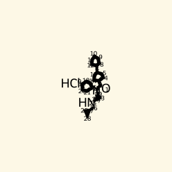 Cl.O=C(c1ccc(-c2ccccc2)cc1)N(c1ccccc1)[C@H]1C[C@H]1NCC1CC1